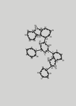 c1ccc(-c2nc(-c3cccc4oc(-c5ccccc5)nc34)nc(-c3cccc4oc5ccccc5c34)n2)cc1